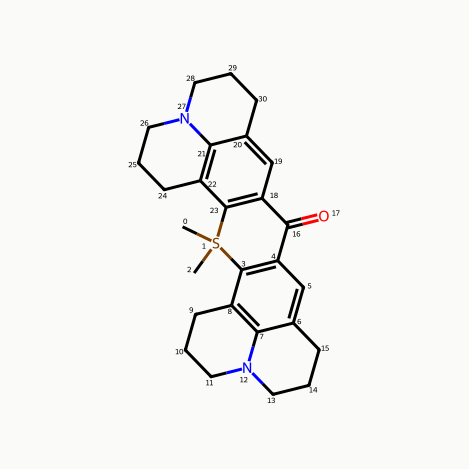 CS1(C)c2c(cc3c4c2CCCN4CCC3)C(=O)c2cc3c4c(c21)CCCN4CCC3